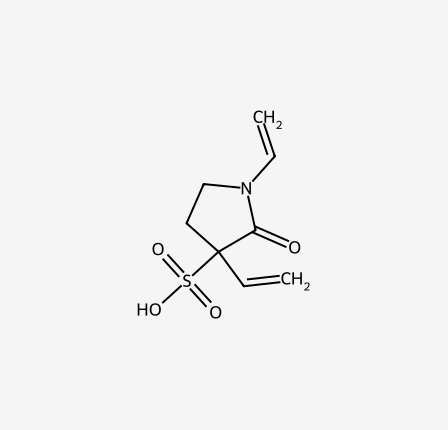 C=CN1CCC(C=C)(S(=O)(=O)O)C1=O